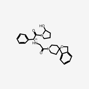 O=C(CN[C@@H](C(=O)N1CCCC1O)c1ccccc1)N1CCC2(CC1)OCc1ccccc12